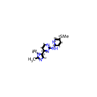 CSc1ccc(Nc2nccc(-c3cnc(C)n3C(C)C)n2)nc1